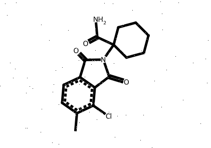 Cc1ccc2c(c1Cl)C(=O)N(C1(C(N)=O)CCCCC1)C2=O